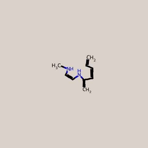 C=C/C=C\C(=C)N/C=C\NC